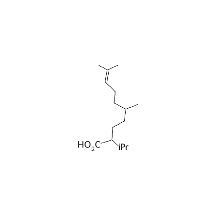 CC(C)=CCCC(C)CCC(C(=O)O)C(C)C